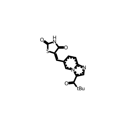 CC(C)(C)C(=O)c1cnc2ccc(C=C3SC(=O)NC3=O)cn12